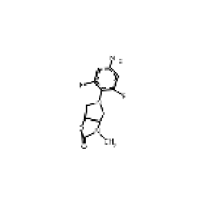 CN1C(=O)OC2CN(c3c(F)cc(N)cc3F)CC21